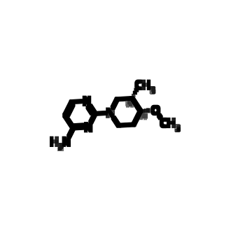 CO[C@@H]1CCN(c2nccc(N)n2)C[C@@H]1C